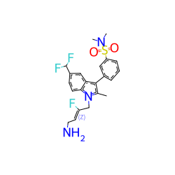 Cc1c(-c2cccc(S(=O)(=O)N(C)C)c2)c2cc(C(F)F)ccc2n1C/C(F)=C/CN